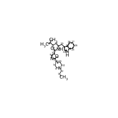 CCCN1CCN(c2ncc(C(=O)NC(CCC(C)C)Cc3c[nH]c4ccccc34)o2)CC1